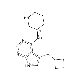 c1nc(N[C@@H]2CCCNC2)c2c(CC3CCC3)c[nH]c2n1